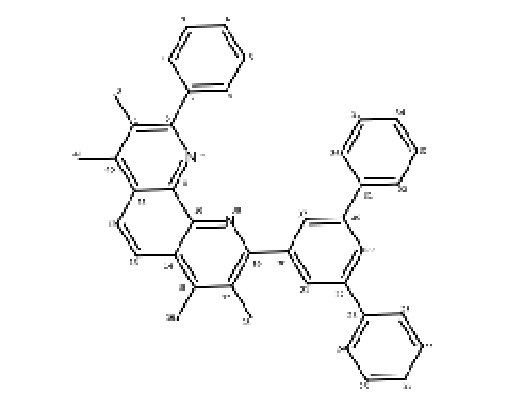 Cc1c(-c2ccccc2)nc2c(ccc3c(C)c(C)c(-c4cc(-c5ccccc5)cc(-c5ccccc5)c4)nc32)c1C